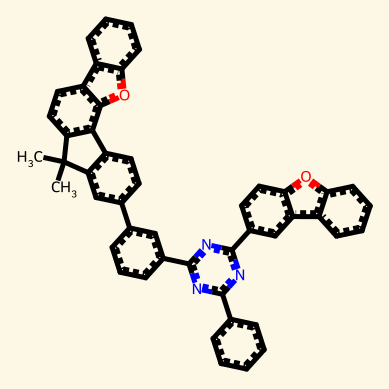 CC1(C)c2cc(-c3cccc(-c4nc(-c5ccccc5)nc(-c5ccc6oc7ccccc7c6c5)n4)c3)ccc2-c2c1ccc1c2oc2ccccc21